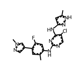 Cc1cc(Nc2nc(Nc3cc(F)c(-c4cnn(C)c4)cc3C)ncc2Cl)n[nH]1